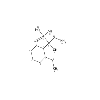 CCC1CCCCC1C(O)(CN)P(O)(=S)S